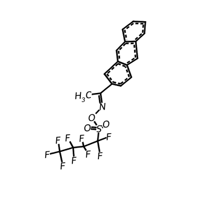 C/C(=N\OS(=O)(=O)C(F)(F)C(F)(F)C(F)(F)C(F)(F)F)c1ccc2cc3ccccc3cc2c1